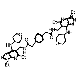 CCc1nc2c(cnn2CC)c(NC2CCOCC2)c1CNC(=O)Cc1ccc(CC(=O)NCc2c(CC)nc3c(cnn3CC)c2NC2CCOCC2)cc1